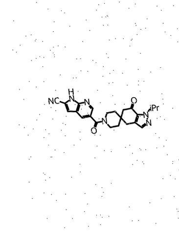 CC(C)n1ncc2c1C(=O)CC1(CCN(C(=O)c3cnc4[nH]c(C#N)cc4c3)CC1)C2